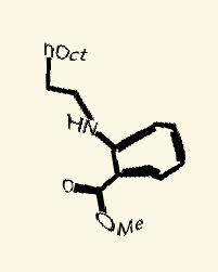 CCCCCCCCCCNc1ccccc1C(=O)OC